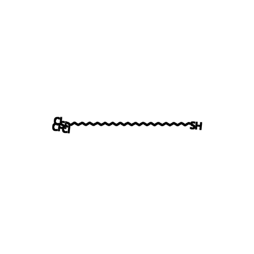 SCCCCCCCCCCCCCCCCCCCCCCCCCCCCCCCCC[Si](Cl)(Cl)Cl